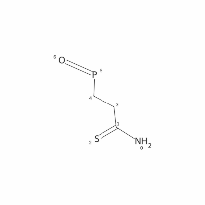 NC(=S)CCP=O